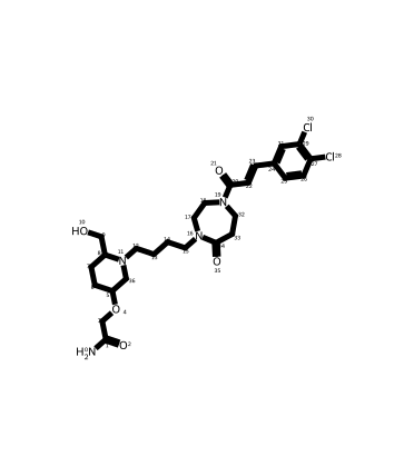 NC(=O)COC1CCC(CO)N(CCCCN2CCN(C(=O)/C=C/c3ccc(Cl)c(Cl)c3)CCC2=O)C1